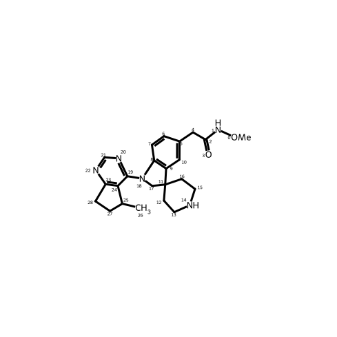 CONC(=O)Cc1ccc2c(c1)C1(CCNCC1)CN2c1ncnc2c1C(C)CC2